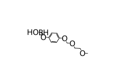 COCCOCOc1ccc(OBO)cc1